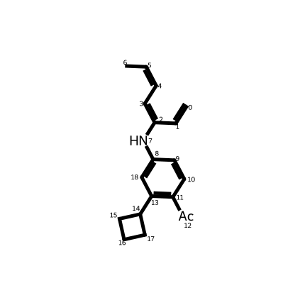 C=C/C(=C\C=C/C)Nc1ccc(C(C)=O)c(C2CCC2)c1